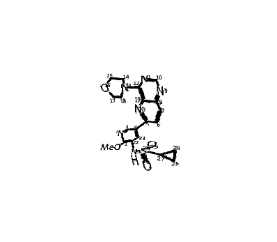 COc1ncc(-c2ccc3ncnc(N4CCOCC4)c3n2)cc1NS(=O)(=O)C1CC1